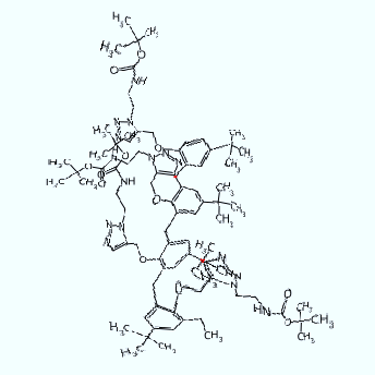 CCc1cc(C(C)(C)C)cc(Cc2cc(C(C)(C)C)cc(Cc3cc(C(C)(C)C)cc(Cc4cc(C(C)(C)C)ccc4OCc4cnnn4CCNC(=O)OC(C)(C)C)c3OCc3cnnn3CCNC(=O)OC(C)(C)C)c2OCc2cnnn2CCNC(=O)OC(C)(C)C)c1OCc1cnnn1CCNC(=O)OC(C)(C)C